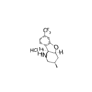 C[C@H]1CN[C@H]2c3ccc(C(F)(F)F)cc3O[C@H]2C1.Cl